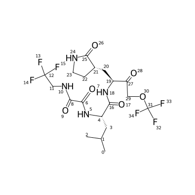 CC(C)C[C@H](NC(=O)C(=O)NCC(F)(F)F)C(=O)N[C@@H](C[C@@H]1CCNC1=O)C(=O)COC(F)(F)F